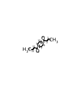 CC=CC(=O)N1CCN(C(=O)C=CC)CC1